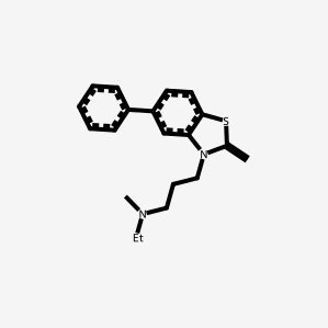 C=C1Sc2ccc(-c3ccccc3)cc2N1CCCN(C)CC